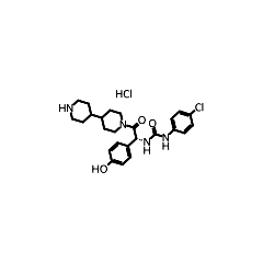 Cl.O=C(Nc1ccc(Cl)cc1)N[C@@H](C(=O)N1CCC(C2CCNCC2)CC1)c1ccc(O)cc1